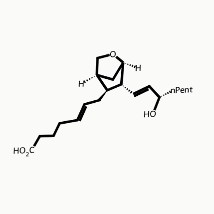 CCCCC[C@H](O)C=C[C@@H]1[C@@H](CC=CCCCC(=O)O)[C@H]2CO[C@@H]1C2